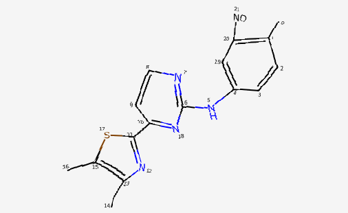 Cc1ccc(Nc2nccc(-c3nc(C)c(C)s3)n2)cc1N=O